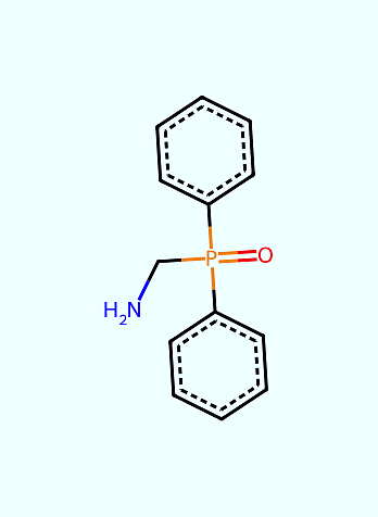 NCP(=O)(c1ccccc1)c1ccccc1